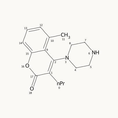 CCCc1c(N2CCNCC2)c2c(C)cccc2oc1=O